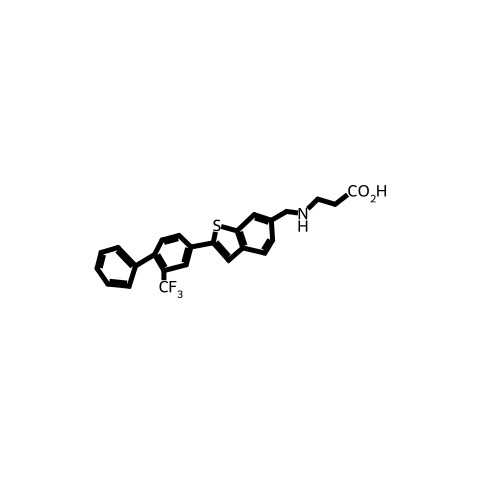 O=C(O)CCNCc1ccc2cc(-c3ccc(-c4ccccc4)c(C(F)(F)F)c3)sc2c1